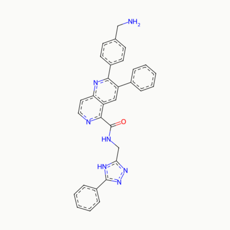 NCc1ccc(-c2nc3ccnc(C(=O)NCc4nnc(-c5ccccc5)[nH]4)c3cc2-c2ccccc2)cc1